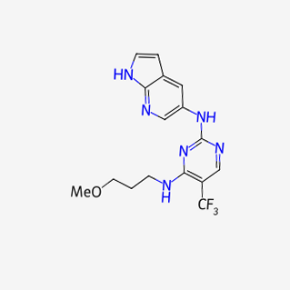 COCCCNc1nc(Nc2cnc3[nH]ccc3c2)ncc1C(F)(F)F